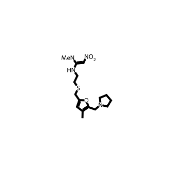 CNC(=C[N+](=O)[O-])NCCSCc1cc(C)c(CN2CCCC2)o1